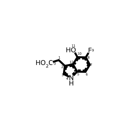 O=C(O)Cc1c[nH]c2ccc(F)c(O)c12